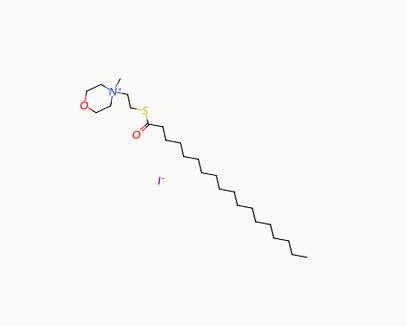 CCCCCCCCCCCCCCCCCC(=O)SCC[N+]1(C)CCOCC1.[I-]